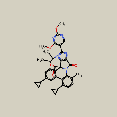 COc1ncc(-c2nc3c4n2C(C)C(C)OC(=O)C42c4ccc(C5CC5)cc4-c4c(C5CC5)ccc(C)c4N2C3=O)c(OC)n1